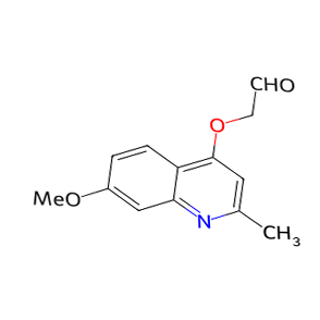 COc1ccc2c(OCC=O)cc(C)nc2c1